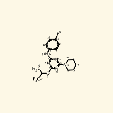 CC(Oc1nc(Nc2ccc(F)cc2)nc(N2CCCCC2)n1)C(F)(F)F